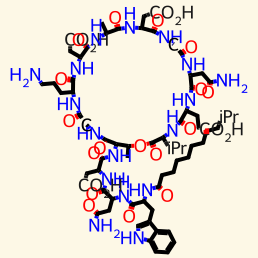 CC(C)CCCCCCCCC(=O)NC(Cc1c[nH]c2ccccc12)C(=O)NC(CC(N)=O)C(=O)NC(CC(=O)O)C(=O)NC1C(=O)NCC(=O)NC(CCCN)C(=O)NC(CC(=O)O)C(=O)NC(C)C(=O)NC(CC(=O)O)C(=O)NCC(=O)NC(CC(N)=O)C(=O)NC(CCC(=O)O)C(=O)NC(C(C)C)C(=O)OC1C